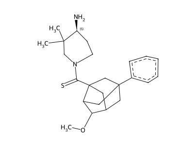 COC1C2CC3(c4ccccc4)CC1C(C(=S)N1CC[C@H](N)C(C)(C)C1)(C2)C3